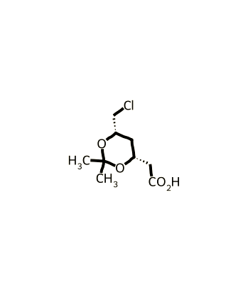 CC1(C)O[C@H](CCl)C[C@H](CC(=O)O)O1